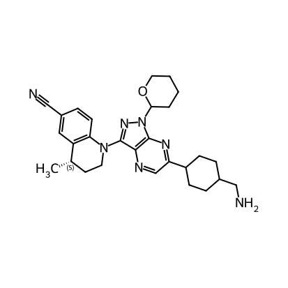 C[C@H]1CCN(c2nn(C3CCCCO3)c3nc(C4CCC(CN)CC4)cnc23)c2ccc(C#N)cc21